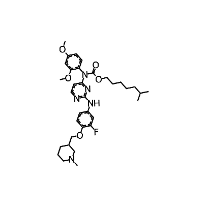 COc1ccc(N(C(=O)OCCCCCC(C)C)c2ccnc(Nc3ccc(OCC4CCCN(C)C4)c(F)c3)n2)c(OC)c1